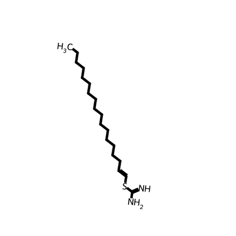 CCCCCCCCCCCCCCCCC=CSC(=N)N